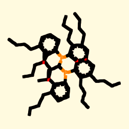 CCCCc1cccc(P(c2cccc(CCCC)c2CCCC)C(CCC)P(c2cccc(CCCC)c2CCCC)c2cccc(CCCC)c2CCCC)c1CCCC